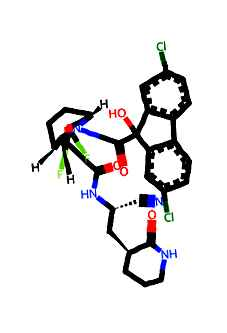 N#C[C@H](C[C@@H]1CCCNC1=O)NC(=O)[C@@H]1[C@@H]2CC[C@@H](CC2(F)F)N1C(=O)C1(O)c2cc(Cl)ccc2-c2ccc(Cl)cc21